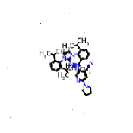 CC(C)c1cccc(C(C)C)c1-n1cc[n+](-c2c(C(C)C)cccc2C(C)C)c1/N=N/c1cnc(N2CCCC2)cc1C#N